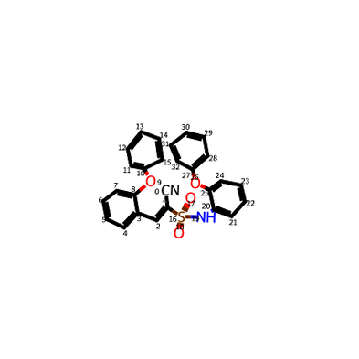 N#CC(=Cc1ccccc1Oc1ccccc1)S(=O)(=O)Nc1ccccc1Oc1ccccc1